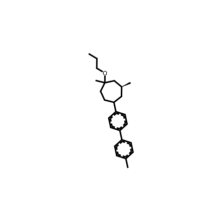 CCCOC1(C)CCC(c2ccc(-c3ccc(C)cc3)cc2)C[C@H](C)C1